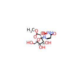 COC(=O)C(O)[C@@]1(n2ccc(=O)[nH]c2=O)O[C@H](CO)[C@@H](O)[C@H]1O